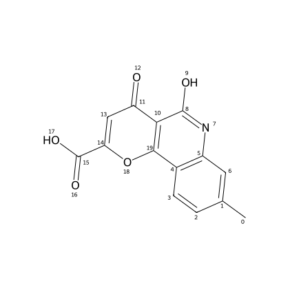 Cc1ccc2c(c1)nc(O)c1c(=O)cc(C(=O)O)oc12